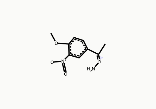 COc1ccc(/C(C)=N\N)cc1[N+](=O)[O-]